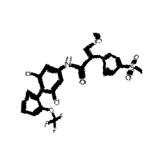 COCC(C(=O)Nc1cc(Cl)c(-c2ccccc2OC(F)(F)F)c(Cl)c1)c1ccc(S(C)(=O)=O)cc1